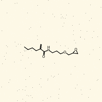 C=C(CCCC)C(=O)NCCCOCC1CO1